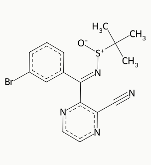 CC(C)(C)[S+]([O-])/N=C(\c1cccc(Br)c1)c1nccnc1C#N